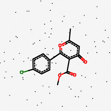 COC(=O)c1c(-c2ccc(Cl)cc2)oc(C)cc1=O